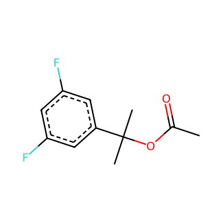 CC(=O)OC(C)(C)c1cc(F)cc(F)c1